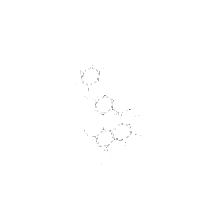 COc1cc(OC)c2nc(C)c3c(c2c1)N(c1ccc(Oc2cccnc2)cc1)CC3